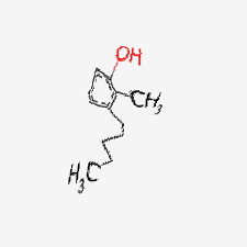 CCCCc1cccc(O)c1C